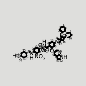 CCc1ccccc1[C@@H]1CCCN1C1CC2(C1)CN(c1ccc(C(=O)NS(=O)(=O)c3ccc(NC[C@H]4CC[C@](C)(O)CC4)c([N+](=O)[O-])c3)c(Oc3cnc4[nH]ccc4c3)c1)C2